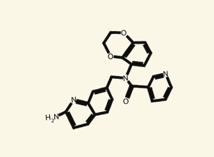 Nc1ccc2ccc(CN(C(=O)c3cccnc3)c3cccc4c3OCCO4)cc2n1